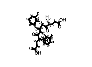 N[C@@H](CCC(=O)O)C(=O)C(Oc1c(F)cccc1F)C(=O)C(Oc1c(F)cccc1F)C(=O)[C@@H](N)CCC(=O)O